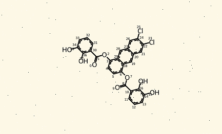 O=C(Oc1ccc(OC(=O)c2cccc(O)c2O)c2cc3cc(Cl)c(Cl)cc3cc12)c1cccc(O)c1O